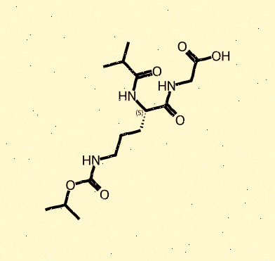 CC(C)OC(=O)NCCC[C@H](NC(=O)C(C)C)C(=O)NCC(=O)O